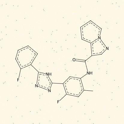 Cc1cc(F)c(-c2nnc(-c3ccccc3F)[nH]2)cc1NC(=O)c1cnn2ccccc12